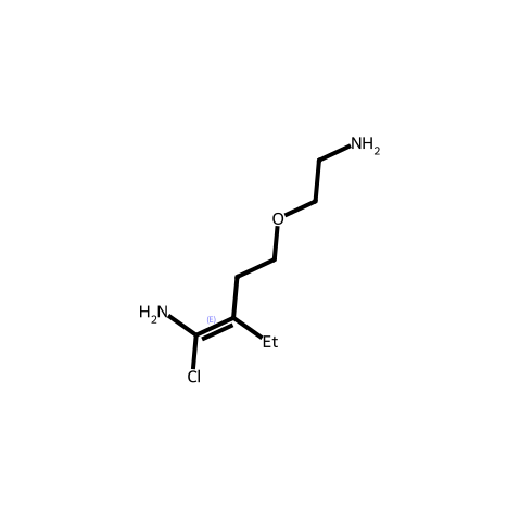 CC/C(CCOCCN)=C(/N)Cl